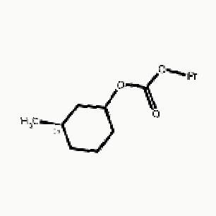 CC(C)OC(=O)OC1CCC[C@@H](C)C1